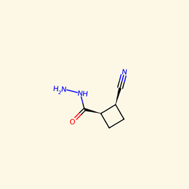 N#C[C@H]1CC[C@H]1C(=O)NN